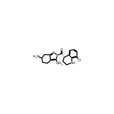 Nc1c2c(nn1C(=O)[C@H]1CCNc3c(Cl)cccc31)CC(N)CC2